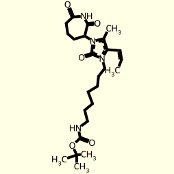 C/C=C\c1c(C)n(C2CCCC(=O)NC2=O)c(=O)n1CCCCCCCNC(=O)OC(C)(C)C